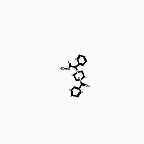 O=C(NO)C(c1ccccc1)N1CCN(C(=O)c2ccccc2)CC1